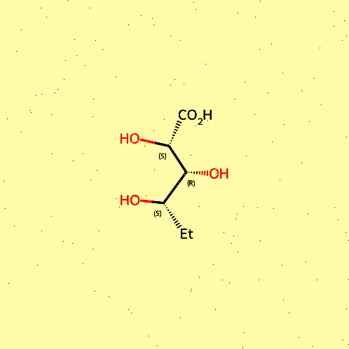 CC[C@H](O)[C@@H](O)[C@H](O)C(=O)O